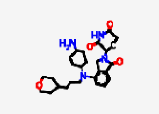 N[C@H]1CC[C@H](N(CCCC2CCOCC2)c2cccc3c2CN(C2CCC(=O)NC2=O)C3=O)CC1